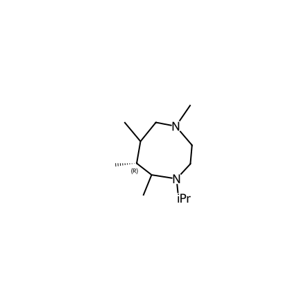 CC1CN(C)CCN(C(C)C)C(C)[C@@H]1C